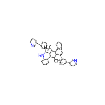 Cc1c2c(c(C)c3c1c(-c1cccc(-c4cccnc4)c1)cc1ccccc13)C(c1cccc(-c3cccnc3)c1)Nc1ccccc1-2